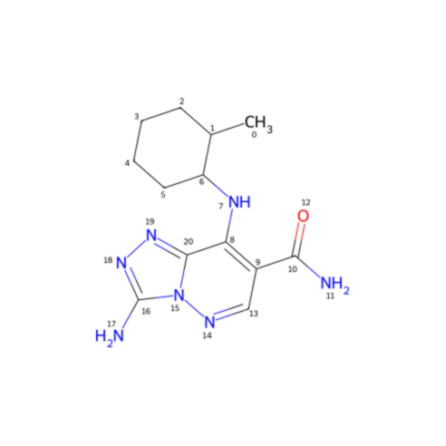 CC1CCCCC1Nc1c(C(N)=O)cnn2c(N)nnc12